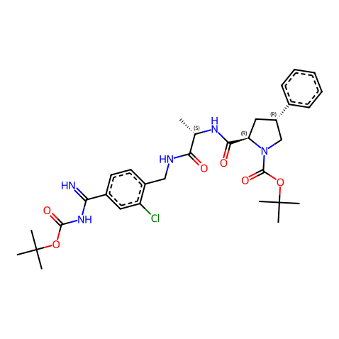 C[C@H](NC(=O)[C@H]1C[C@H](c2ccccc2)CN1C(=O)OC(C)(C)C)C(=O)NCc1ccc(C(=N)NC(=O)OC(C)(C)C)cc1Cl